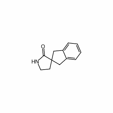 O=C1NCCC12Cc1ccccc1C2